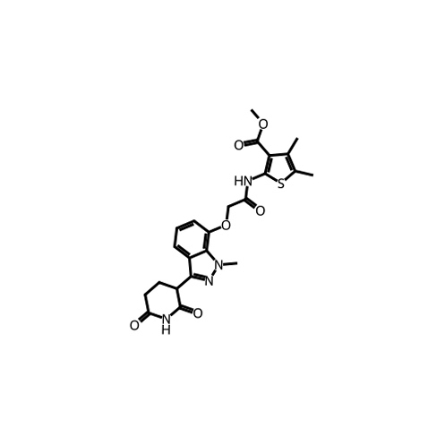 COC(=O)c1c(NC(=O)COc2cccc3c(C4CCC(=O)NC4=O)nn(C)c23)sc(C)c1C